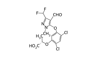 C[C@H](Oc1cc(Oc2c(C=O)c(C(F)F)nn2C)c(Cl)cc1Cl)C(=O)O